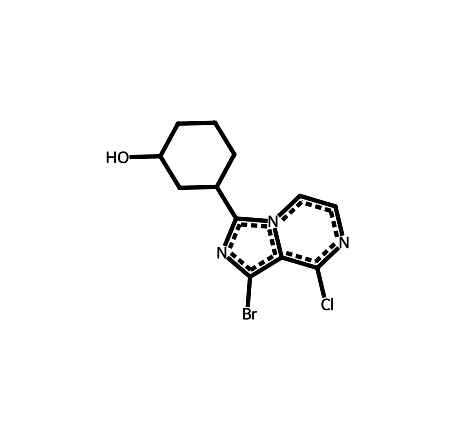 OC1CCCC(c2nc(Br)c3c(Cl)nccn23)C1